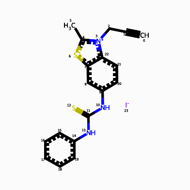 C#CC[n+]1c(C)sc2cc(NC(=S)Nc3ccccc3)ccc21.[I-]